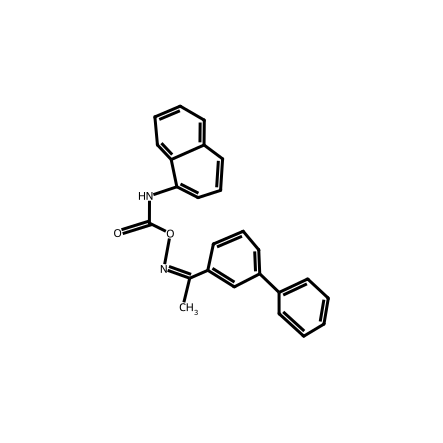 CC(=NOC(=O)Nc1cccc2ccccc12)c1cccc(-c2ccccc2)c1